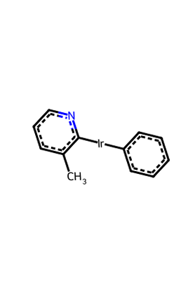 Cc1cccn[c]1[Ir][c]1ccccc1